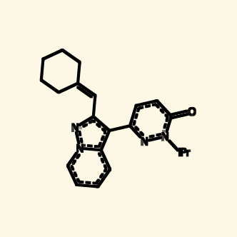 CC(C)n1nc(-c2c(C=C3CCCCC3)nn3ccccc23)ccc1=O